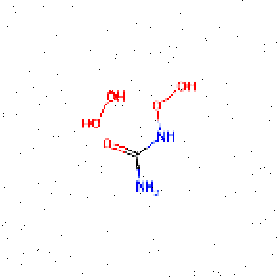 NC(=O)NOO.OO